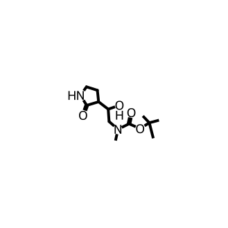 CN(CC(O)C1CCNC1=O)C(=O)OC(C)(C)C